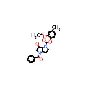 CCOc1cc(C)ccc1OC(=O)N1CCC2C1C(=O)CN2C(=O)c1ccccc1